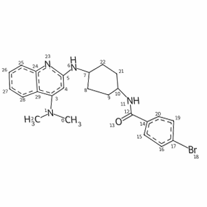 CN(C)c1cc(NC2CCC(NC(=O)c3ccc(Br)cc3)CC2)nc2ccccc12